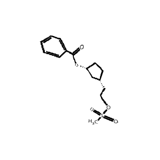 CS(=O)(=O)OCC[C@H]1CC[C@@H](OC(=O)c2ccccc2)C1